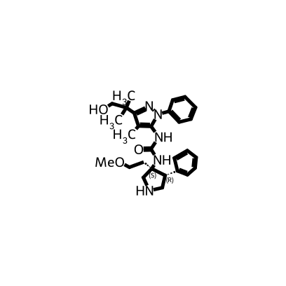 COCC[C@@]1(NC(=O)Nc2c(C)c(C(C)(C)CO)nn2-c2ccccc2)CNC[C@H]1c1ccccc1